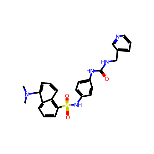 CN(C)c1cccc2c(S(=O)(=O)Nc3ccc(NC(=O)NCc4cccnc4)cc3)cccc12